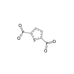 O=P(=O)c1ccc(P(=O)=O)s1